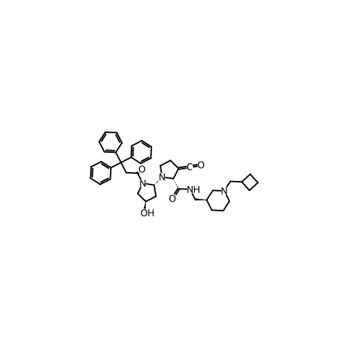 O=C=C1CCN([C@@H]2C[C@@H](O)CN2C(=O)CC(c2ccccc2)(c2ccccc2)c2ccccc2)[C@H]1C(=O)NC[C@@H]1CCCN(CC2CCC2)C1